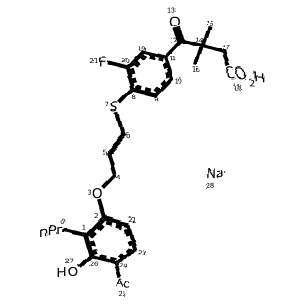 CCCc1c(OCCCSc2ccc(C(=O)C(C)(C)CC(=O)O)cc2F)ccc(C(C)=O)c1O.[Na]